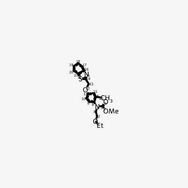 CCOCCN(C(=O)OC)c1ccc(OCc2nc3ccccc3s2)cc1C